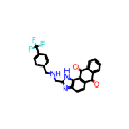 O=C1c2ccccc2C(=O)c2c1ccc1nc(CNCc3ccc(C(F)(F)F)cc3)[nH]c21